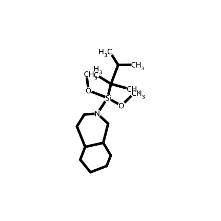 CO[Si](OC)(N1CCC2CCCCC2C1)C(C)(C)C(C)C